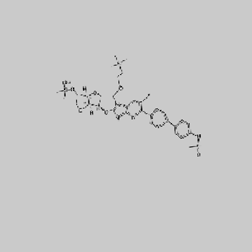 CC(C)(C)[Si](C)(C)OC1CO[C@H]2[C@@H]1OC[C@H]2Oc1nc2nc(-c3ccc(-c4ccc(N=S(C)(C)=O)cc4)cc3)c(F)cc2n1COCC[Si](C)(C)C